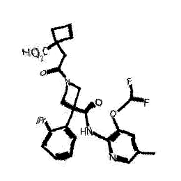 Cc1cnc(NC(=O)C2(c3ccccc3C(C)C)CN(C(=O)CC3(C(=O)O)CCC3)C2)c(OC(F)F)c1